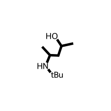 CC(O)CC(C)NC(C)(C)C